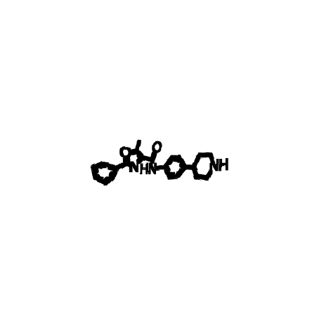 Cc1oc(-c2ccccc2)nc1C(=O)Nc1ccc(C2CCNCC2)cc1